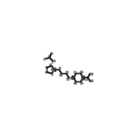 CC(C)C[C@H]1CCCN1CCCCN1CCN(C(C)C)CC1